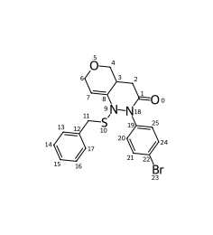 O=C1CC2COCC=C2N(SCc2ccccc2)N1c1ccc(Br)cc1